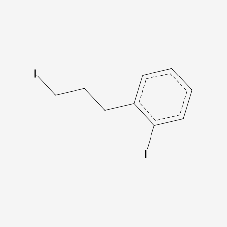 ICCCc1ccccc1I